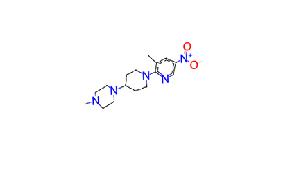 Cc1cc([N+](=O)[O-])cnc1N1CCC(N2CCN(C)CC2)CC1